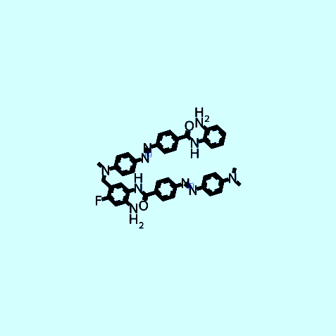 CN(C)c1ccc(/N=N/c2ccc(C(=O)Nc3cc(CN(C)c4ccc(/N=N/c5ccc(C(=O)Nc6ccccc6N)cc5)cc4)c(F)cc3N)cc2)cc1